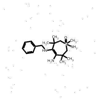 CC1(C)CS(C)(N)(=O)CC(C)(C)C(NCc2ccccc2)=C1N